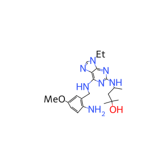 CCn1cnc2c(NCc3cc(OC)ccc3N)nc(NC(C)CC(C)(C)O)nc21